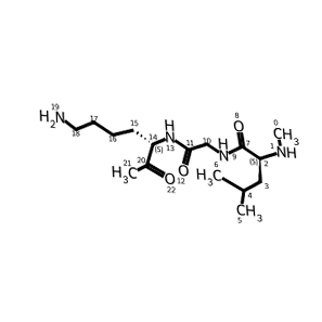 CN[C@@H](CC(C)C)C(=O)NCC(=O)N[C@@H](CCCCN)C(C)=O